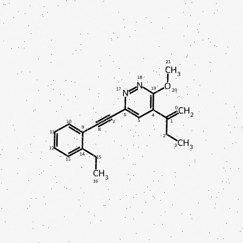 C=C(CC)c1cc(C#Cc2ccccc2CC)nnc1OC